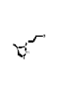 CN1C=NNN1SCCCl